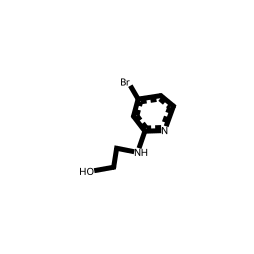 OCCNc1cc(Br)ccn1